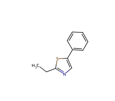 [CH2]Cc1ncc(-c2ccccc2)s1